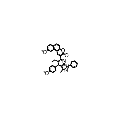 CCc1c(-c2cc3c(ccc4ccc(OC)cc43)oc2=O)nc2c(c(C)nn2-c2ccccc2)c1-c1ccc(OC)cc1